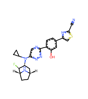 N#Cc1nc(-c2ccc(-c3ncc(N(C4CC4)[C@H]4C[C@@H]5CC[C@@H](N5)[C@H]4F)nn3)c(O)c2)cs1